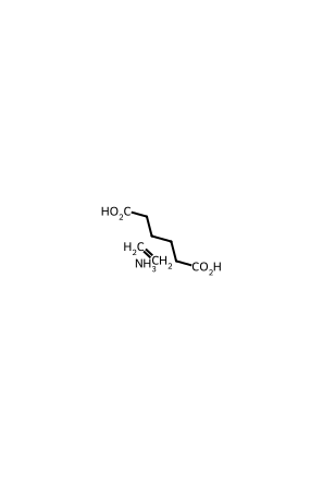 C=C.N.O=C(O)CCCCC(=O)O